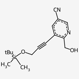 CC(C)(C)[Si](C)(C)OCC#Cc1cc(C#N)cnc1CO